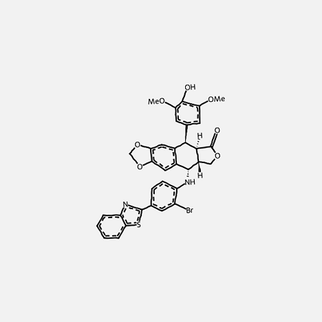 COc1cc([C@@H]2c3cc4c(cc3[C@@H](Nc3ccc(-c5nc6ccccc6s5)cc3Br)[C@H]3COC(=O)[C@H]23)OCO4)cc(OC)c1O